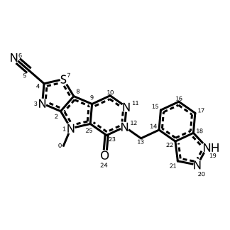 Cn1c2nc(C#N)sc2c2cnn(Cc3cccc4[nH]ncc34)c(=O)c21